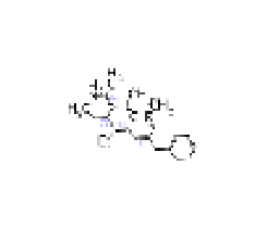 C=CC\C(=C/C=C(CC)/C(=C/C)C(/C(=C)C)=C(/C)N)CC1=CC=CCC1